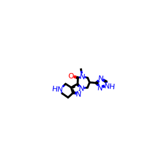 CN1CC(c2nc[nH]n2)Cn2nc3c(c2C1=O)CNCC3